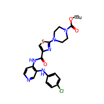 CC(C)(C)OC(=O)N1CCN(c2nc(C(=O)Nc3ccncc3Nc3ccc(Cl)cc3)cs2)CC1